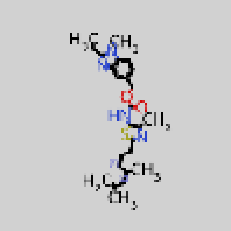 C=C(C)/C=C(C)\C=C/Cc1nc(C)c(NC(=O)OCc2ccc3c(c2)nc(CC)n3C)s1